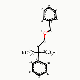 CCOC(=O)C(CCOCc1ccccc1)(C(=O)OCC)c1ccccc1